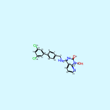 O=c1nc(NCc2ccc(-c3cc(Cl)cc(Cl)c3)cc2)c2cccnc2n1O